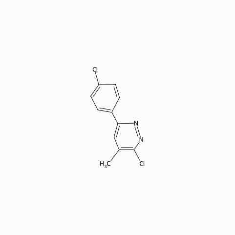 Cc1cc(-c2ccc(Cl)cc2)nnc1Cl